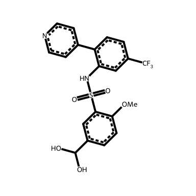 COc1ccc(C(O)O)cc1S(=O)(=O)Nc1cc(C(F)(F)F)ccc1-c1ccncc1